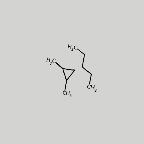 CC1CC1C.CCCCC